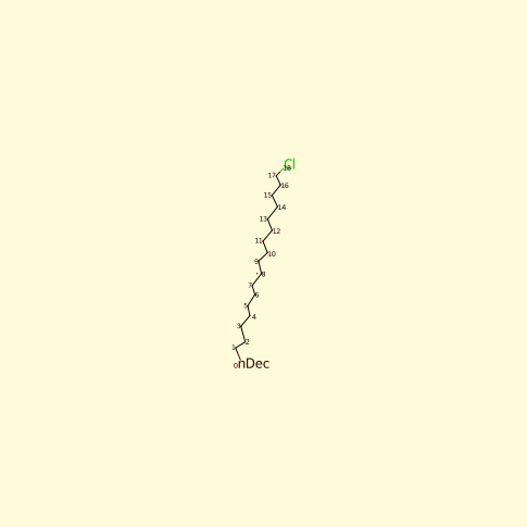 CCCCCCCCCCCCCCCCC[CH]CCCCCCCCCCl